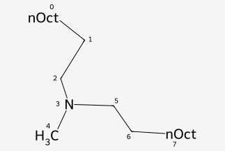 CCCCCCCCCCN(C)CCCCCCCCCC